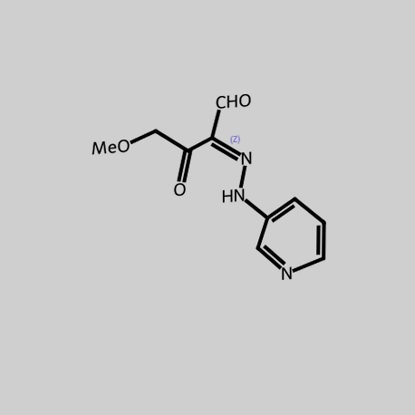 COCC(=O)/C(C=O)=N\Nc1cccnc1